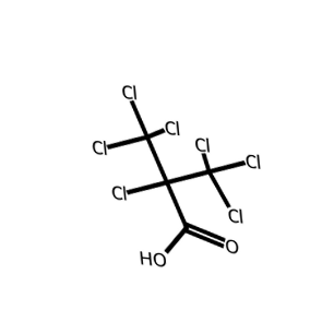 O=C(O)C(Cl)(C(Cl)(Cl)Cl)C(Cl)(Cl)Cl